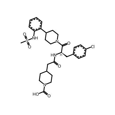 CS(=O)(=O)Nc1ccccc1C1CCN(C(=O)[C@@H](Cc2ccc(Cl)cc2)NC(=O)CC2CCN(C(=O)O)CC2)CC1